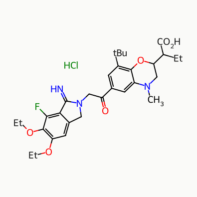 CCOc1cc2c(c(F)c1OCC)C(=N)N(CC(=O)c1cc3c(c(C(C)(C)C)c1)OC(C(CC)C(=O)O)CN3C)C2.Cl